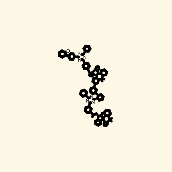 CC1=C(/C=C(\C)c2cccc(-c3nc(-c4ccccc4)nc(-c4ccccc4-c4cccc(-c5ccc6c(c5)C(C)(C)c5ccccc5C65c6ccccc6-c6c(-c7ccc(-c8nc(-c9ccccc9)nc(-c9ccc%10c(c9)oc9ccccc9%10)n8)cc7)cccc65)c4)n3)c2)c2ccccc2C12c1ccccc1C(C)(C)c1ccccc12